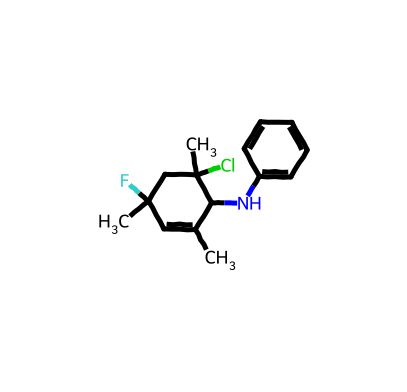 CC1=CC(C)(F)CC(C)(Cl)C1Nc1ccccc1